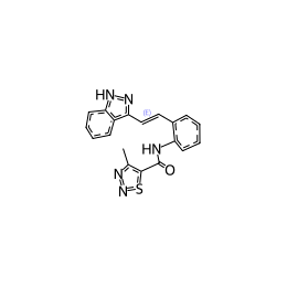 Cc1nnsc1C(=O)Nc1ccccc1/C=C/c1n[nH]c2ccccc12